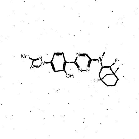 CN(c1cnc(-c2ccc(-n3cnc(C#N)n3)cc2O)nn1)[C@@H]1C[C@H]2CCC[C@](C)(C2)[C@@H]1F